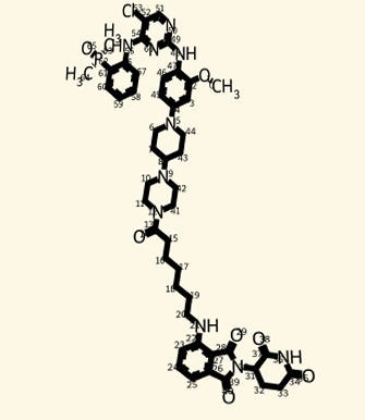 COc1cc(N2CCC(N3CCN(C(=O)CCCCCCNc4cccc5c4C(=O)N(C4CCC(=O)NC4=O)C5=O)CC3)CC2)ccc1Nc1ncc(Cl)c(Nc2ccccc2P(C)(C)=O)n1